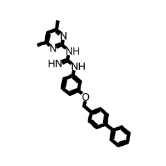 Cc1cc(C)nc(NC(=N)Nc2cccc(OCc3ccc(-c4ccccc4)cc3)c2)n1